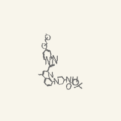 COCCOc1ccn2c(-c3cc(C)c4cccc(N5CCC(NC(=O)OC(C)(C)C)CC5)c4n3)cnc2c1